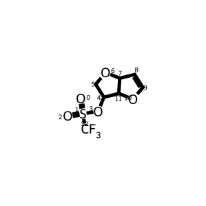 O=S(=O)(OC1COC2C=COC21)C(F)(F)F